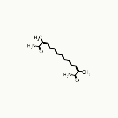 CC(=CCCCCCCCC=C(C)C(N)=O)C(N)=O